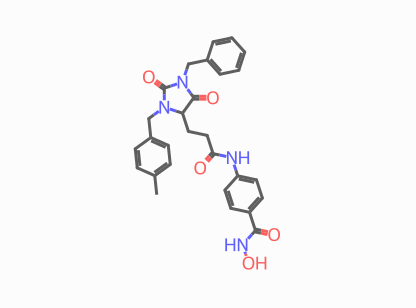 Cc1ccc(CN2C(=O)N(Cc3ccccc3)C(=O)C2CCC(=O)Nc2ccc(C(=O)NO)cc2)cc1